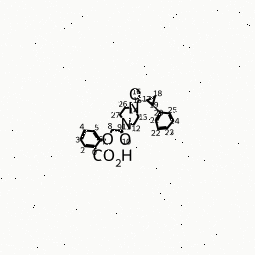 O=C(O)c1ccccc1OCC(=O)N1CCN(C(=O)[C@@H]2C[C@H]2c2ccccc2)CC1